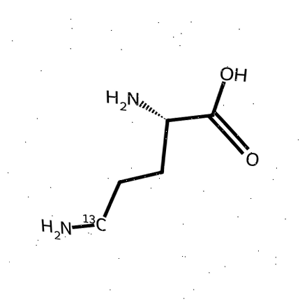 N[13CH2]CC[C@H](N)C(=O)O